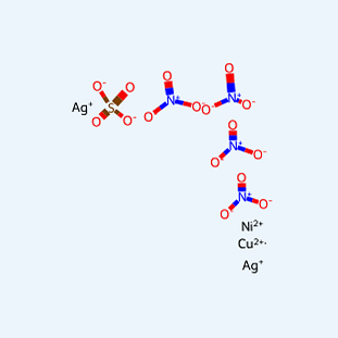 O=S(=O)([O-])[O-].O=[N+]([O-])[O-].O=[N+]([O-])[O-].O=[N+]([O-])[O-].O=[N+]([O-])[O-].[Ag+].[Ag+].[Cu+2].[Ni+2]